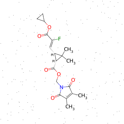 CC1=C(C)C(=O)N(COC(=O)[C@@H]2[C@H](C=C(F)C(=O)OC3CC3)C2(C)C)C1=O